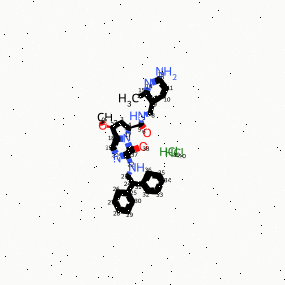 CO[C@H]1C[C@@H](C(=O)NCc2ccc(N)nc2C)n2c1cnc(NCC(c1ccccc1)c1ccccc1)c2=O.Cl.Cl